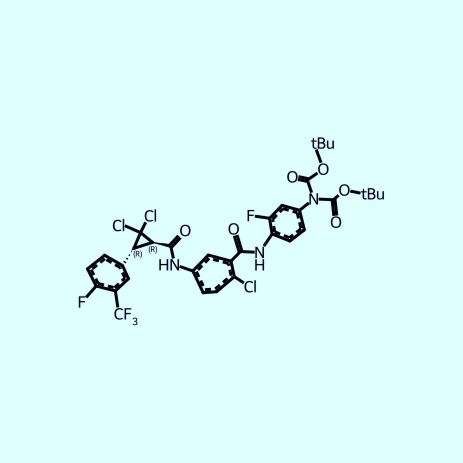 CC(C)(C)OC(=O)N(C(=O)OC(C)(C)C)c1ccc(NC(=O)c2cc(NC(=O)[C@H]3[C@H](c4ccc(F)c(C(F)(F)F)c4)C3(Cl)Cl)ccc2Cl)c(F)c1